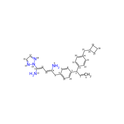 C=CC(c1ccc(C/C(N)=C/C=C(\N)n2nccn2)cc1)c1ccc(CC2CCC2)cc1